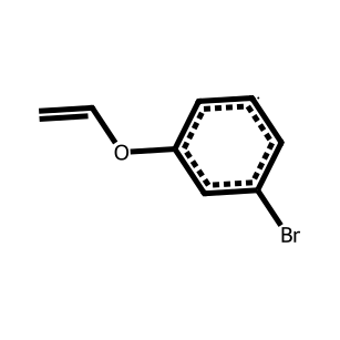 C=COc1c[c]cc(Br)c1